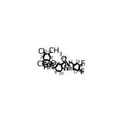 Cc1cc(S(=O)(=O)Nc2ccc3[nH]n(Cc4ccc(F)c(F)c4)c(=O)c3c2)c(Cl)cc1Cl